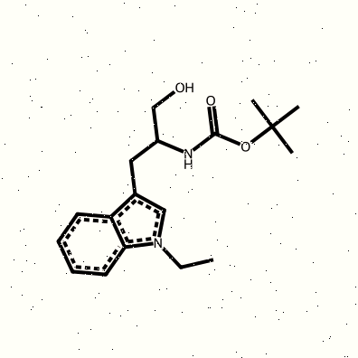 CCn1cc(CC(CO)NC(=O)OC(C)(C)C)c2ccccc21